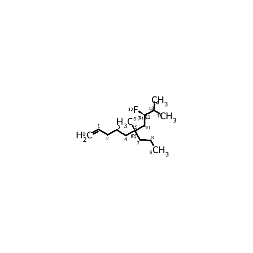 C=CCCC[C@@](C)(CCC)C[C@@H](F)C(C)C